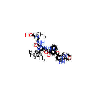 CN(CCO)CCNC(=O)c1nc(NC(=O)N[C@@]2(C=O)C=C[C@@H](Oc3ccc4nnc([C@@H]5COCCN5C)n4c3)c3ccccc32)cc(C(C)(C)C)n1